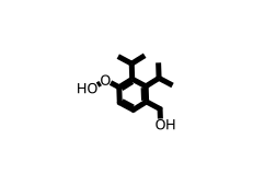 CC(C)c1c(CO)ccc(OO)c1C(C)C